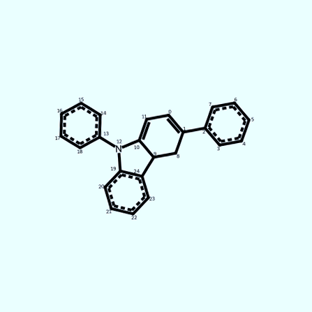 C1=C(c2ccccc2)CC2C(=C1)N(c1ccccc1)c1ccccc12